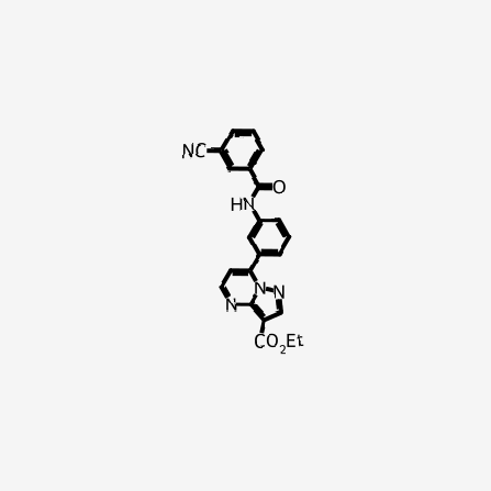 CCOC(=O)c1cnn2c(-c3cccc(NC(=O)c4cccc(C#N)c4)c3)ccnc12